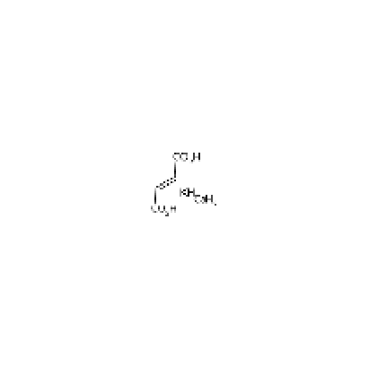 O=C(O)C=CC(=O)O.[CaH2].[KH]